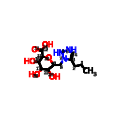 CCCC1=CNNN1CC1OC(C(=O)O)C(O)C(O)C1O